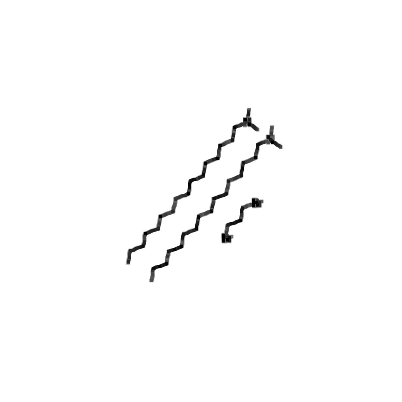 BrCCCBr.CCCCCCCCCCCCCCCCN(C)C.CCCCCCCCCCCCCCCCN(C)C